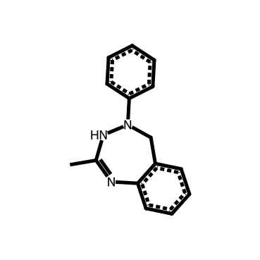 CC1=Nc2ccccc2CN(c2ccccc2)N1